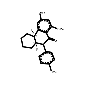 COc1ccc(C2C(=O)c3c(OC)cc(OC)cc3[C@@H]3CCCC[C@H]23)cc1